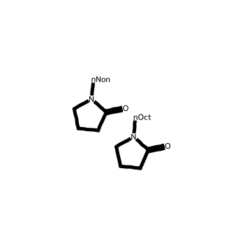 CCCCCCCCCN1CCCC1=O.CCCCCCCCN1CCCC1=O